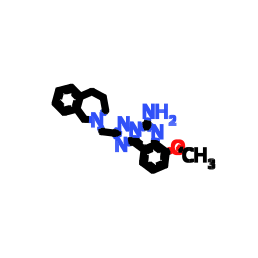 COc1cccc2c1nc(N)n1nc(CN3CCCc4ccccc4C3)nc21